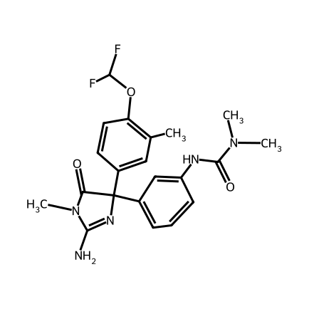 Cc1cc(C2(c3cccc(NC(=O)N(C)C)c3)N=C(N)N(C)C2=O)ccc1OC(F)F